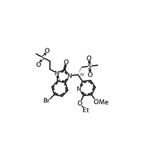 CCOc1nc([C@@H](CS(C)(=O)=O)n2c(=O)n(CCS(C)(=O)=O)c3cc(Br)ccc32)ccc1OC